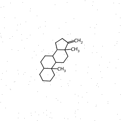 C=C1CCC2C3CCC4CCCCC4(C)C3CCC12C